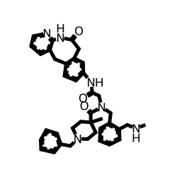 CNCc1ccccc1CN(CC(=O)Nc1ccc2c(c1)CC(=O)Nc1ncccc1C2)C(=O)C1(C)CCN(Cc2ccccc2)CC1